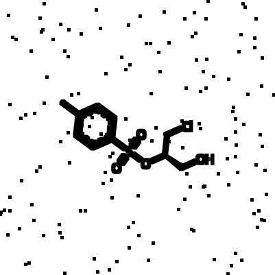 Cc1ccc(S(=O)(=O)O[C@H](CO)CCl)cc1